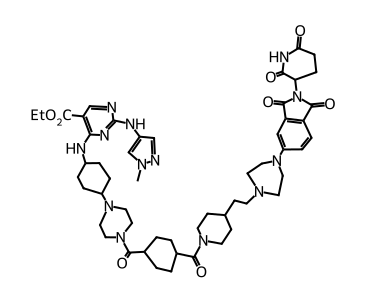 CCOC(=O)c1cnc(Nc2cnn(C)c2)nc1NC1CCC(N2CCN(C(=O)C3CCC(C(=O)N4CCC(CCN5CCN(c6ccc7c(c6)C(=O)N(C6CCC(=O)NC6=O)C7=O)CC5)CC4)CC3)CC2)CC1